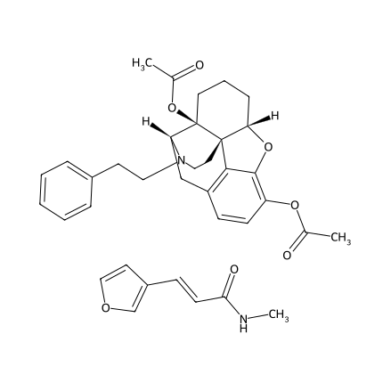 CC(=O)Oc1ccc2c3c1O[C@H]1CCC[C@@]4(OC(C)=O)[C@@H](C2)N(CCc2ccccc2)CC[C@]314.CNC(=O)/C=C/c1ccoc1